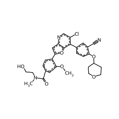 COc1cc(C(=O)N(C)CCO)ccc1-c1cc2ncc(Cl)c(-c3ccc(OC4CCOCC4)c(C#N)c3)c2o1